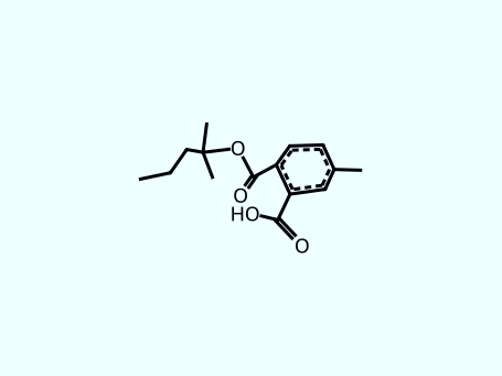 CCCC(C)(C)OC(=O)c1ccc(C)cc1C(=O)O